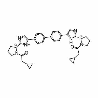 O=C(CC1CC1)N1CCC[C@H]1c1ncc(-c2ccc(-c3ccc(-c4cnc([C@@H]5CCCN5C(=O)CC5CC5)[nH]4)cc3)cc2)[nH]1